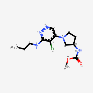 COCCNc1nncc(N2CCC(NC(=O)OC(C)(C)C)C2)c1Cl